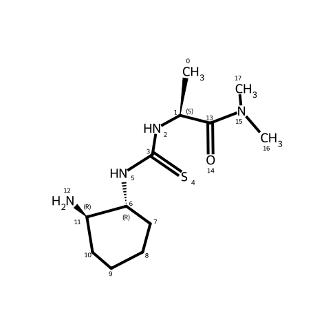 C[C@H](NC(=S)N[C@@H]1CCCC[C@H]1N)C(=O)N(C)C